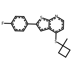 CC1(Sc2ccnc3sc(-c4ccc(F)cc4)cc23)CCC1